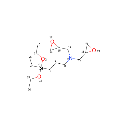 CCO[Si](CC)(CCCN(CC1CO1)CC1CO1)OCC